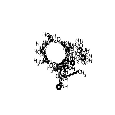 CCCCCCCCCC(=O)N[C@@H](Cc1c[nH]c2ccccc12)C(=O)N[C@@H](CC(N)=O)C(=O)N[C@@H](CC(=O)O)C(=O)N[C@@H]1C(=O)NCC(=O)N[C@@H](CCCN)C(=O)N[C@@H](CC(=O)O)C(=O)N[C@H](C)C(=O)N[C@@H](CC(=O)O)C(=O)NCC(=O)N[C@H](CO)C(=O)N[C@@H]([C@H](C)CC(=O)O)C(=O)N[C@@H](CC(=O)c2ccccc2N)C(=O)O[C@@H]1C.OC[C@H]1O[C@@](CO)(O[C@H]2O[C@H](CO)[C@@H](O)[C@H](O)[C@H]2O)[C@@H](O)[C@@H]1O